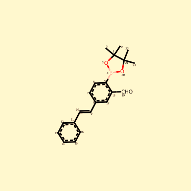 CC1(C)OB(c2ccc(/C=C/c3ccccc3)cc2C=O)OC1(C)C